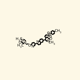 Cc1ccc(S(=O)(=O)n2ccc3c(-c4ccc5nc(-c6ccc(OCCN7CCN(C)C(=O)[C@H]7C)nc6)ccc5c4)cn(C)c(=O)c32)cc1